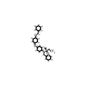 O=S(=O)(CC(F)(F)F)N(Cc1ccccn1)c1ccc(Oc2ccc(OCc3ccccc3)cc2)cc1